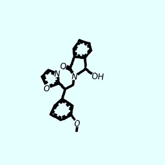 COc1cccc(C(CN2C(=O)c3ccccc3C2O)c2ncco2)c1